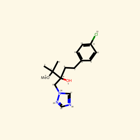 COC(C)(C)C(O)(CCc1ccc(Cl)cc1)Cn1cncn1